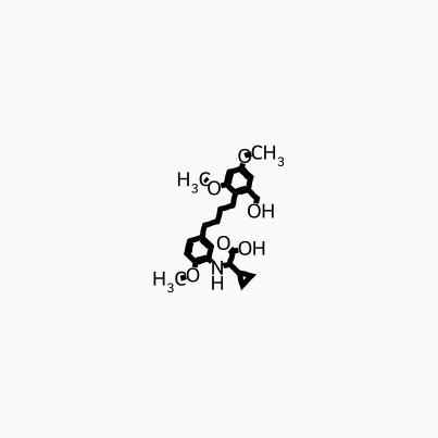 COc1cc(CO)c(CCCCc2ccc(OC)c(NC(C(=O)O)C3CC3)c2)c(OC)c1